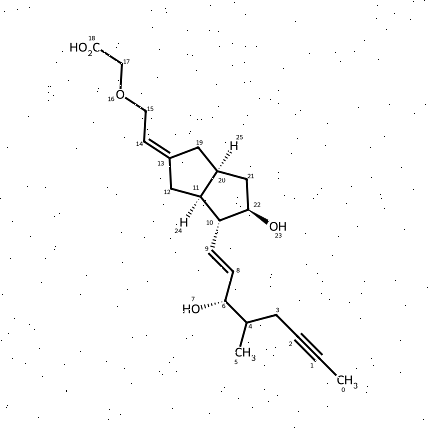 CC#CCC(C)[C@H](O)/C=C/[C@@H]1[C@H]2C/C(=C/COCC(=O)O)C[C@H]2C[C@H]1O